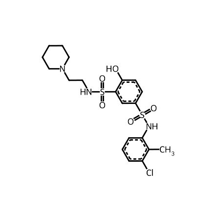 Cc1c(Cl)cccc1NS(=O)(=O)c1ccc(O)c(S(=O)(=O)NCCN2CCCCC2)c1